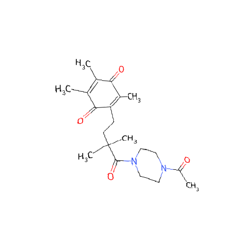 CC(=O)N1CCN(C(=O)C(C)(C)CCC2=C(C)C(=O)C(C)=C(C)C2=O)CC1